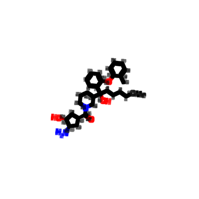 COCCCC[C@@](O)(c1ccccc1Oc1ccccc1C)C1CCCN(C(=O)[C@H]2C[C@@H](N)[C@H](O)C2)C1